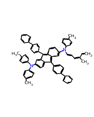 C=C/C(C)=C\C=C\N(c1ccc(C)cc1)c1ccc2c(-c3ccc(-c4ccccc4)cc3)c3cc(N(c4ccc(C)cc4)c4ccc(C)cc4)ccc3c(-c3ccc(-c4ccccc4)cc3)c2c1